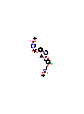 CC(C)(C)OC(=O)NCCOc1cc(CN(C(=O)[C@@H]2CCCN(c3cccc(OC(C)(C)C(=O)N4CCN(C(=O)OC(C)(C)C)CC4)c3)C2)C2CC2)ccc1Br